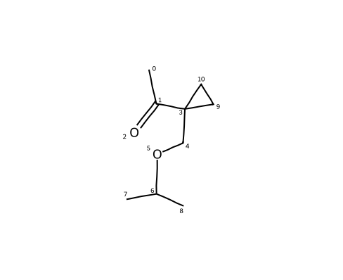 CC(=O)C1(COC(C)C)CC1